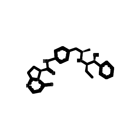 CC[C@@H](N[C@@H](C)Cc1ccc(NC(=O)[C@@H]2CCc3nccc(=O)n32)cc1)[C@H](O)c1ccccc1